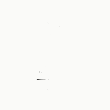 O=C(N[C@H]1CN2CCC1CC2)c1ccc(Sc2cnc(N3CCOCC3)[nH]2)cc1